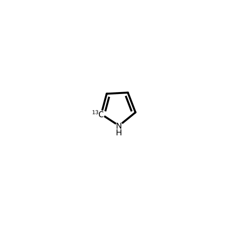 c1c[13cH][nH]c1